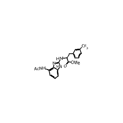 COC(=O)C(Cc1cccc(C(F)(F)F)c1)Nc1nc2c(NC(C)=O)cccc2[nH]1